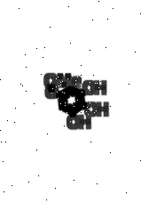 COOc1cc(O)c(O)c(O)c1